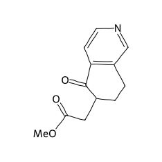 COC(=O)CC1CCc2cnccc2C1=O